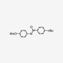 CCCCc1ccc(/[N+]([O-])=N/c2ccc(OC)cc2)cc1